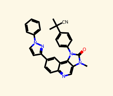 Cn1c(=O)n(-c2ccc(C(C)(C)C#N)cc2)c2c3cc(-c4ccn(-c5ccccc5)n4)ccc3ncc21